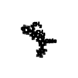 C=CCC(C1=C(C)N(C(=O)Cn2nc(N3CCC4(CCC4)C3)cc(OC)c2=O)CC1)N1CCOCC1